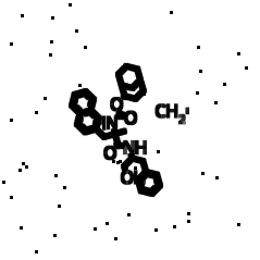 CC(Cc1ccc2ccccc2c1)(NC(=O)OC1CCC2CCCC1C2)C(=O)NC(CO)Cc1ccccc1.[CH2]